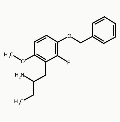 CCC(N)Cc1c(OC)ccc(OCc2ccccc2)c1F